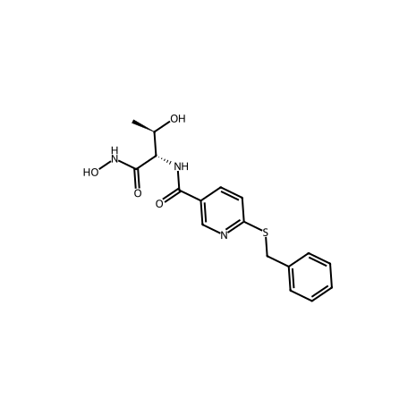 C[C@@H](O)[C@H](NC(=O)c1ccc(SCc2ccccc2)nc1)C(=O)NO